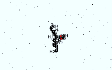 Cc1c(Nc2nccc3cc(CN4CC[C@@H](O)C4)cnc23)cccc1-c1cccc(-c2nc3cc(CN4CC[C@@H](C(=O)O)C4)cc(C#N)c3o2)c1C.O=C(O)C(=O)O.O=C(O)C(=O)O